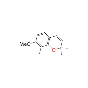 COc1ccc2c(c1C)OC(C)(C)C=C2